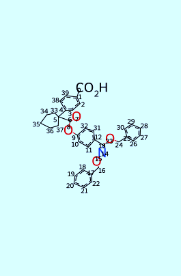 O=C(O)c1ccc(C2(C(=O)Oc3ccc(/C(=N\OCc4ccccc4)OCc4ccccc4)cc3)CCCCC2)cc1